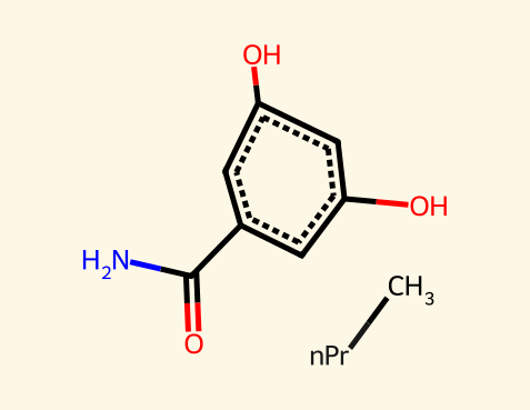 CCCC.NC(=O)c1cc(O)cc(O)c1